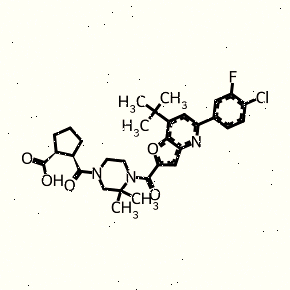 CC(C)(C)c1cc(-c2ccc(Cl)c(F)c2)nc2cc(C(=O)N3CCN(C(=O)[C@@H]4CCC[C@@H]4C(=O)O)CC3(C)C)oc12